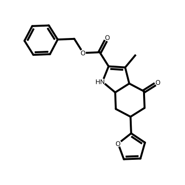 CC1=C(C(=O)OCc2ccccc2)NC2CC(c3ccco3)CC(=O)C12